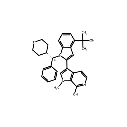 Cn1cc(-c2cc3c(C(C)(C)O)cccc3n2[C@H](c2ccccc2)C2CCOCC2)c2ccnc(O)c21